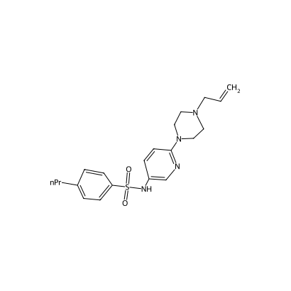 C=CCN1CCN(c2ccc(NS(=O)(=O)c3ccc(CCC)cc3)cn2)CC1